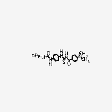 CCCCCC(=O)Nc1ccc(NC(=S)NC(=O)c2ccc(N(C)C)cc2)cc1